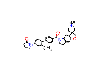 CCCCN1CCC2(CC1)COc1cc3c(cc12)N(C(=O)c1ccc(-c2ccc(N4CCCC4=O)cc2C)cc1)CC3